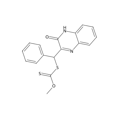 COC(=S)SC(c1ccccc1)c1nc2ccccc2[nH]c1=O